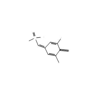 CC(C)(C)C1=CC(=CP(=O)(O)O)C=C(C(C)(C)C)C1=O